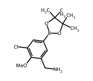 COc1c(Cl)cc(B2OC(C)(C)C(C)(C)O2)cc1CN